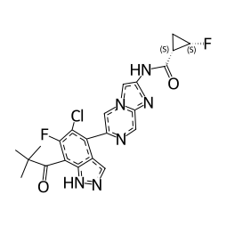 CC(C)(C)C(=O)c1c(F)c(Cl)c(-c2cn3cc(NC(=O)[C@@H]4C[C@@H]4F)nc3cn2)c2cn[nH]c12